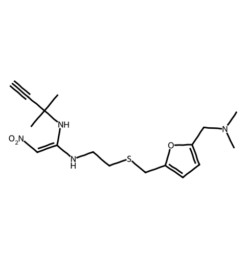 C#CC(C)(C)NC(=C[N+](=O)[O-])NCCSCc1ccc(CN(C)C)o1